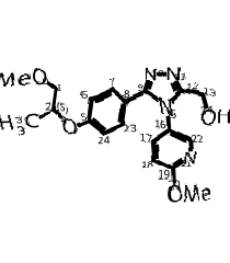 COC[C@H](C)Oc1ccc(-c2nnc(CO)n2-c2ccc(OC)nc2)cc1